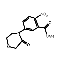 COC(=O)c1cc(N2CCOCC2=O)ccc1[N+](=O)[O-]